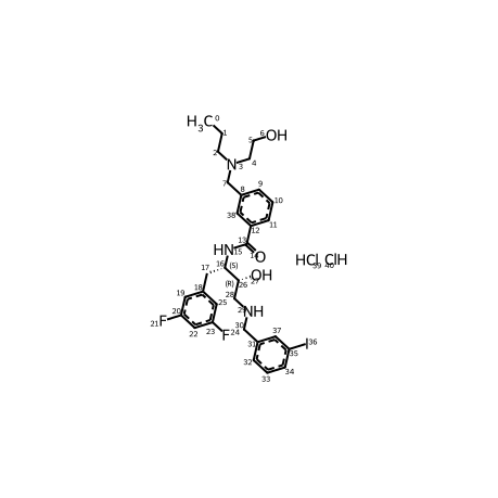 CCCN(CCO)Cc1cccc(C(=O)N[C@@H](Cc2cc(F)cc(F)c2)[C@H](O)CNCc2cccc(I)c2)c1.Cl.Cl